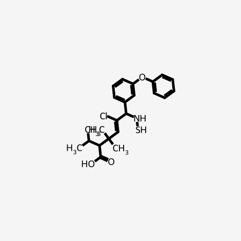 CC(C)C(C(=O)O)C(C)(C)C=C(Cl)C(NS)c1cccc(Oc2ccccc2)c1